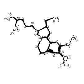 CCC1CC2c3cc(OC)c(OC)cc3CCN2CC1CCCC(C)C